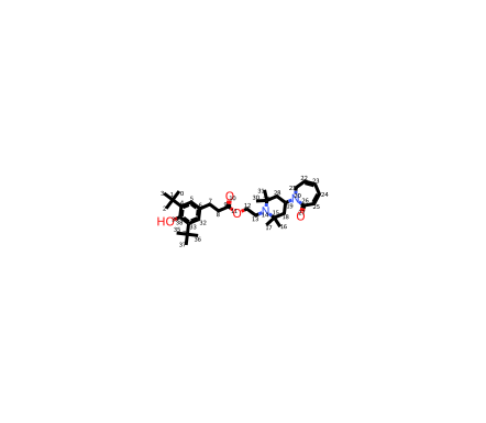 CC(C)(C)c1cc(CCC(=O)OCCN2C(C)(C)CC(N3CC=CC=CC3=O)CC2(C)C)cc(C(C)(C)C)c1O